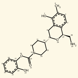 Cc1ccc2c(c1O)C[C@@H](C1CCN(C(=O)Oc3ccccc3O)CC1)O[C@@H]2CN